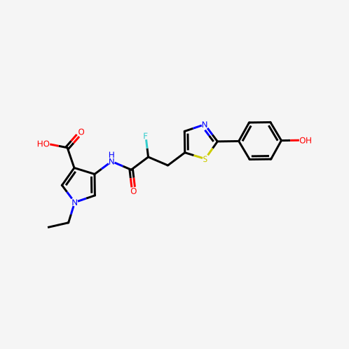 CCn1cc(NC(=O)C(F)Cc2cnc(-c3ccc(O)cc3)s2)c(C(=O)O)c1